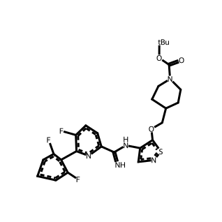 CC(C)(C)OC(=O)N1CCC(COc2sncc2NC(=N)c2ccc(F)c(-c3c(F)cccc3F)n2)CC1